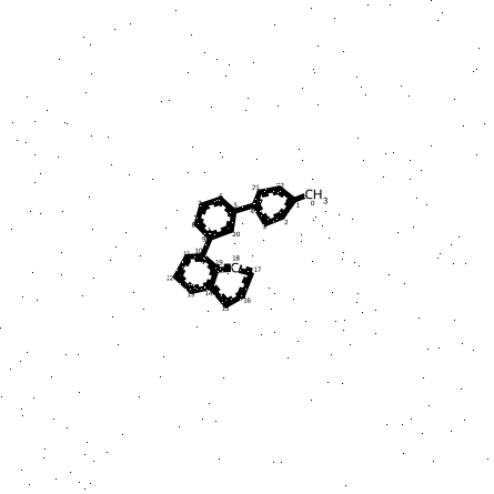 Cc1ccc(-c2cccc(-c3cccc4ccccc34)c2)cc1